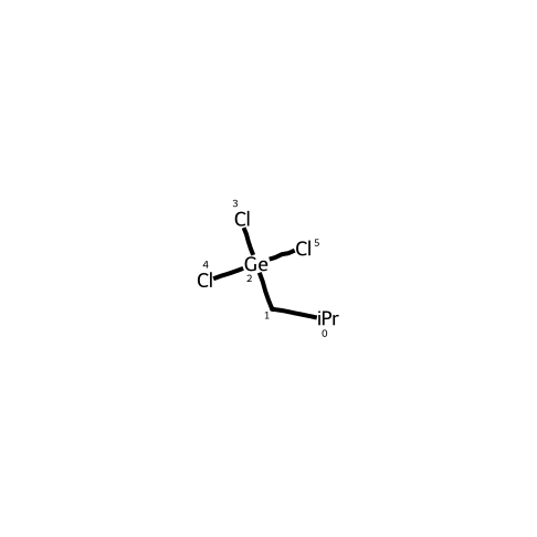 CC(C)[CH2][Ge]([Cl])([Cl])[Cl]